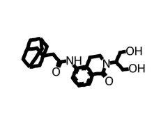 O=C(CC12CC3CC(CC(C3)C1)C2)Nc1cccc2c1CCN(C(CO)CO)C2=O